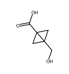 O=C(O)C12CC1(CO)C2